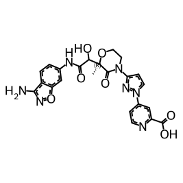 C[C@]1(C(O)C(=O)Nc2ccc3c(N)noc3c2)OCCN(c2ccn(-c3ccnc(C(=O)O)c3)n2)C1=O